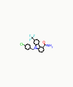 NC(=O)c1cccc2c1c1[c]cc(C(F)(F)F)cc1n2Cc1ccc(Cl)cc1